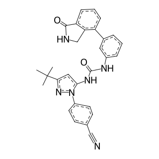 CC(C)(C)c1cc(NC(=O)Nc2cccc(-c3cccc4c3CNC4=O)c2)n(-c2ccc(C#N)cc2)n1